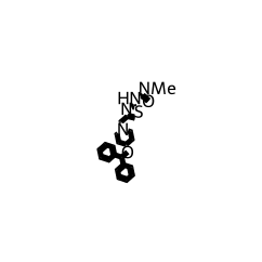 CNC(=O)Nc1nc(CN2CCC(OC(c3ccccc3)c3ccccc3)CC2)cs1